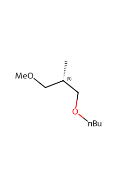 CCCCOC[C@@H](C)COC